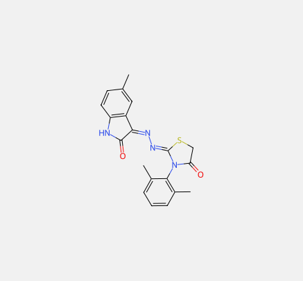 Cc1ccc2c(c1)C(=NN=C1SCC(=O)N1c1c(C)cccc1C)C(=O)N2